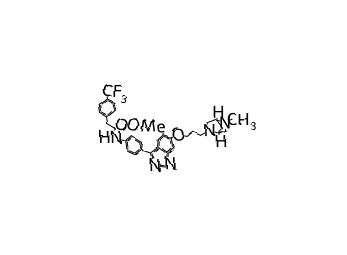 COc1cc2c(-c3ccc(NC(=O)Cc4ccc(C(F)(F)F)cc4)cc3)ncnc2cc1OCCCN1C[C@H]2C[C@@H]1CN2C